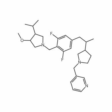 COC1CN(Cc2c(F)cc(CC(C)C3CCN(Cc4cccnc4)C3)cc2F)CC1C(C)C